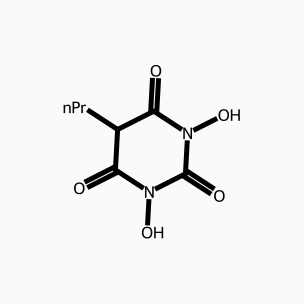 CCCC1C(=O)N(O)C(=O)N(O)C1=O